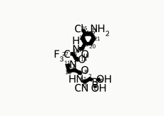 N#CC(CB(O)O)NC(=O)C1CCN1C(=O)C(NC(=O)c1ccc(N)c(Cl)c1)C(F)(F)F